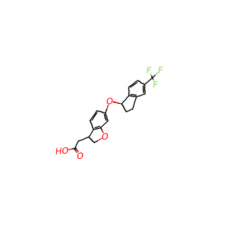 O=C(O)CC1COc2cc(O[C@@H]3CCc4cc(C(F)(F)F)ccc43)ccc21